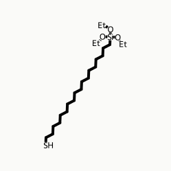 CCO[Si](CCCCCCCCCCCCCCCCCCS)(OCC)OCC